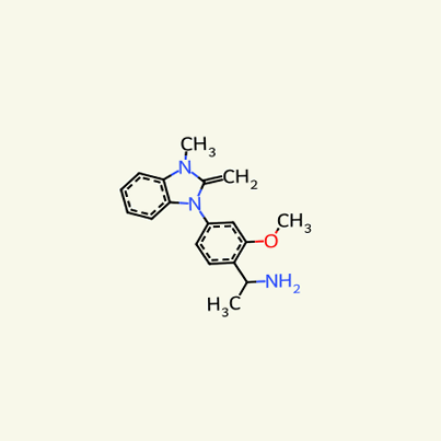 C=C1N(C)c2ccccc2N1c1ccc(C(C)N)c(OC)c1